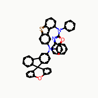 c1ccc(N(c2ccc3c(c2)-c2ccccc2C32c3ccccc3Oc3ccccc32)c2ccc3sc4cccc(N(c5ccccc5)c5nc6ccccc6o5)c4c3c2)cc1